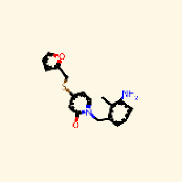 Cc1c(N)cccc1Cn1ccc(SCc2ccco2)cc1=O